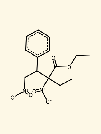 CCOC(=O)C(CC)(C(C[N+](=O)[O-])c1ccccc1)[N+](=O)[O-]